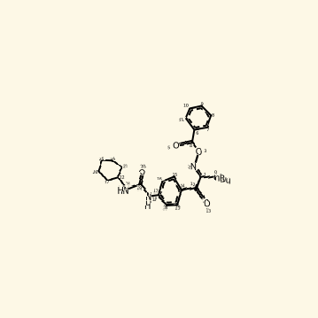 CCCC/C(=N\OC(=O)c1ccccc1)C(=O)c1ccc(NC(=O)NC2CCCCC2)cc1